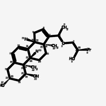 CC(OC[C@H](O)C(C)C)C1=CC[C@H]2C3=CC=C4C[C@@H](O)C[C@H](O)[C@]4(C)[C@H]3CC[C@]12C